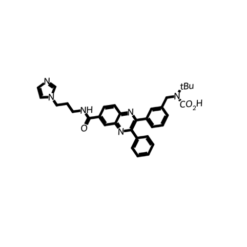 CC(C)(C)N(Cc1cccc(-c2nc3ccc(C(=O)NCCCn4ccnc4)cc3nc2-c2ccccc2)c1)C(=O)O